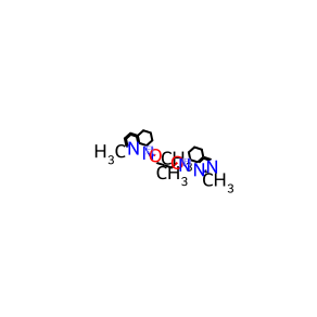 Cc1ccc2c(n1)/C(=N/OCC(C)(C)CO/N=C1\CCCc3cnc(C)nc31)CCC2